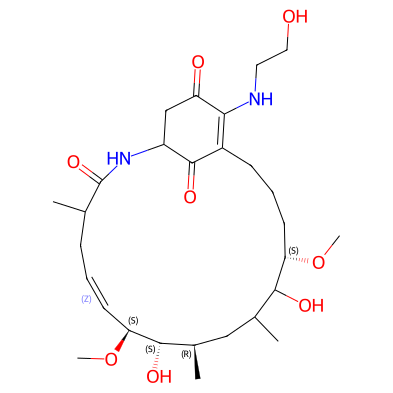 CO[C@H]1CCCC2=C(NCCO)C(=O)CC(NC(=O)C(C)C/C=C\[C@H](OC)[C@@H](O)[C@H](C)CC(C)C1O)C2=O